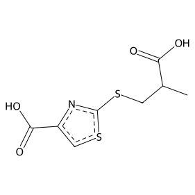 CC(CSc1nc(C(=O)O)cs1)C(=O)O